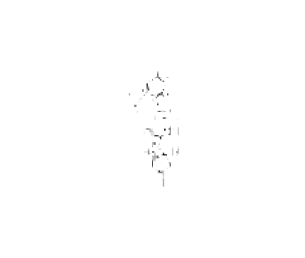 CC(C)(COc1ncccc1C1CC1)NC(=O)[C@H]1[C@@H]2CNC[C@@H]21